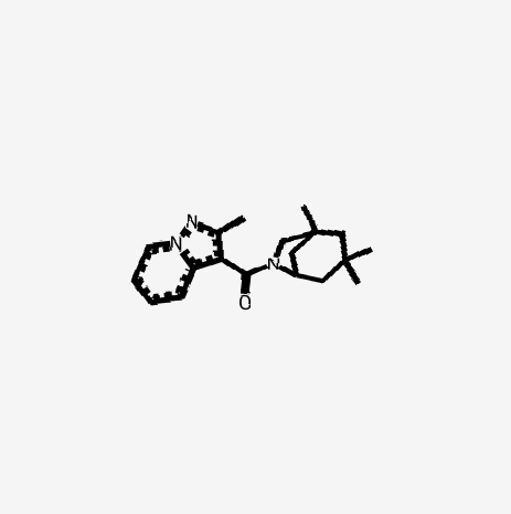 Cc1nn2ccccc2c1C(=O)N1CC2(C)CC1CC(C)(C)C2